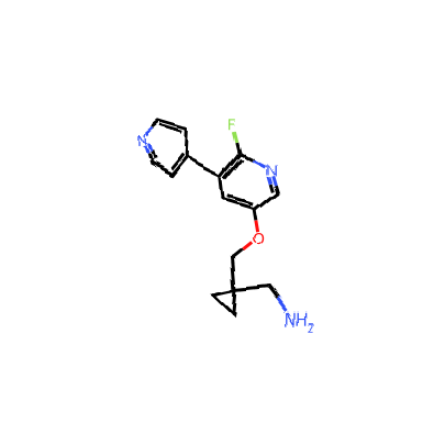 NCC1(COc2cnc(F)c(-c3ccncc3)c2)CC1